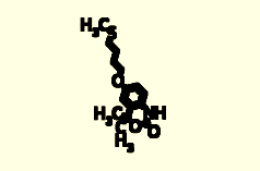 CSCCCCOc1ccc2c(c1)C(C)(C)OC(=O)N2